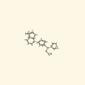 N#CCC(c1ccoc1)n1cc(-c2ccnc3[nH]ccc23)cn1